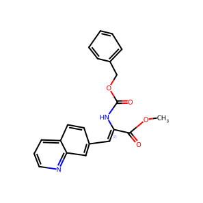 COC(=O)/C(=C/c1ccc2cccnc2c1)NC(=O)OCc1ccccc1